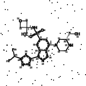 CC1(NS(=O)(=O)c2cc(N3CCN[C@@H](CO)C3)c3cnc(-c4nnc(C(F)F)s4)n3c2)COC1